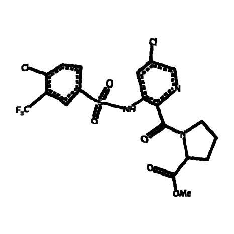 COC(=O)C1CCCN1C(=O)c1ncc(Cl)cc1NS(=O)(=O)c1ccc(Cl)c(C(F)(F)F)c1